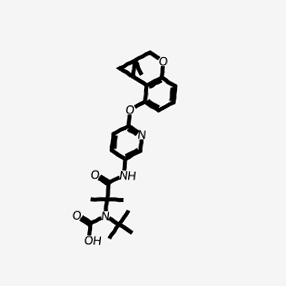 CC12COc3cccc(Oc4ccc(NC(=O)C(C)(C)N(C(=O)O)C(C)(C)C)cn4)c3C1C2